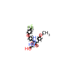 CCOc1ccc(CC(NC(=O)c2ccc(Oc3ccc(C(F)(F)F)cc3)cc2)C(=O)NCCO)cc1